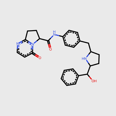 O=C(Nc1ccc(CC2CCC(C(O)c3ccccc3)N2)cc1)C1CCc2nccc(=O)n21